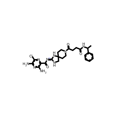 CC(NC(=O)CCC(=O)N1CCC2(CC1)CN/C(=N\C(=O)c1nc(Cl)c(N)nc1N)N2)c1ccccc1